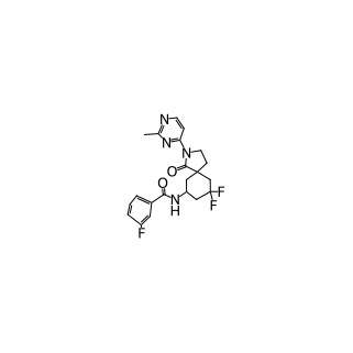 Cc1nccc(N2CCC3(CC(NC(=O)c4cccc(F)c4)CC(F)(F)C3)C2=O)n1